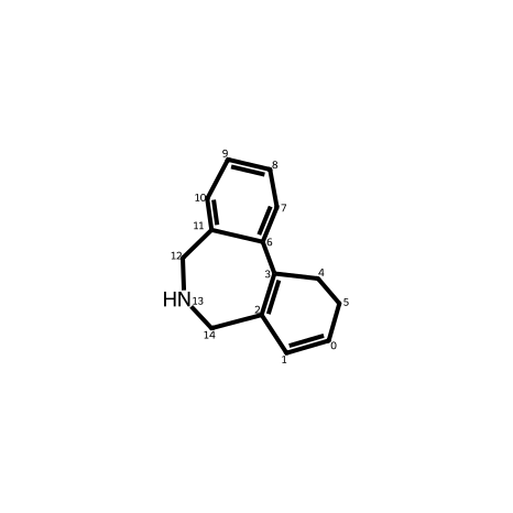 C1=CC2=C(CC1)c1ccccc1CNC2